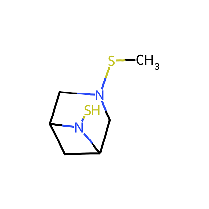 CSN1CC2CC(C1)N2S